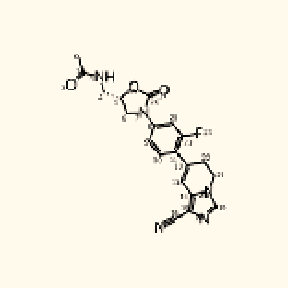 CC(=O)NC[C@H]1CN(c2ccc(C3=Cc4c(C#N)ncn4CC3)c(F)c2)C(=O)O1